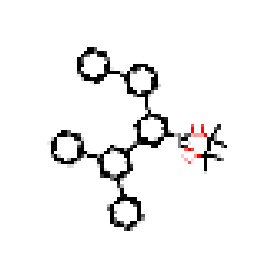 CC1(C)OB(c2cc(-c3cccc(-c4ccccc4)c3)cc(-c3cc(-c4ccccc4)cc(-c4ccccc4)c3)c2)OC1(C)C